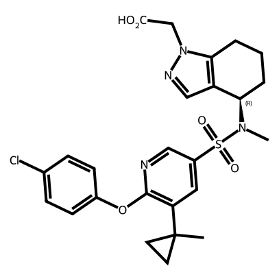 CN([C@@H]1CCCc2c1cnn2CC(=O)O)S(=O)(=O)c1cnc(Oc2ccc(Cl)cc2)c(C2(C)CC2)c1